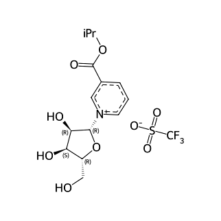 CC(C)OC(=O)c1ccc[n+]([C@@H]2O[C@H](CO)[C@@H](O)[C@H]2O)c1.O=S(=O)([O-])C(F)(F)F